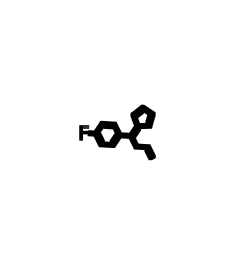 C=CCC(=C1C=CC=C1)c1ccc(F)cc1